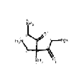 NCC(=O)C(N)(CN)C(=O)CN